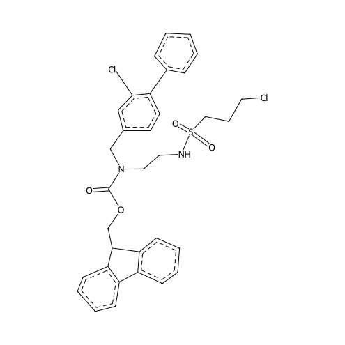 O=C(OCC1c2ccccc2-c2ccccc21)N(CCNS(=O)(=O)CCCCl)Cc1ccc(-c2ccccc2)c(Cl)c1